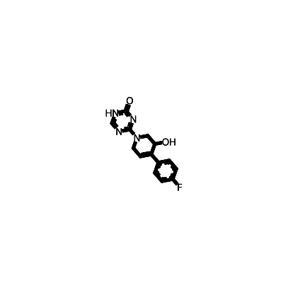 O=c1nc(N2CC=C(c3ccc(F)cc3)C(O)C2)nc[nH]1